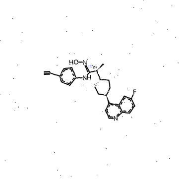 C#Cc1ccc(N/C(=N\O)[C@@H](C)[C@H]2CC[C@H](c3ccnc4ccc(F)cc43)CC2)cc1